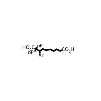 CCCC(CCC)(C(=O)O)C(CCCCCCC(=O)O)C(C)=O